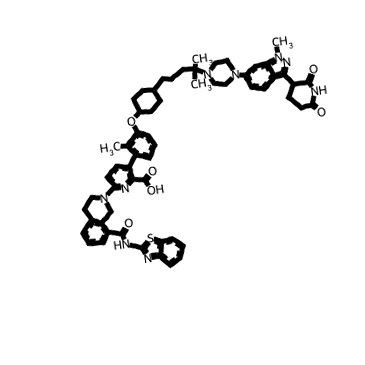 Cc1c(OC2CCC(CCCC(C)(C)N3CCN(c4ccc5c(C6CCC(=O)NC6=O)nn(C)c5c4)CC3)CC2)cccc1-c1ccc(N2CCc3cccc(C(=O)Nc4nc5ccccc5s4)c3C2)nc1C(=O)O